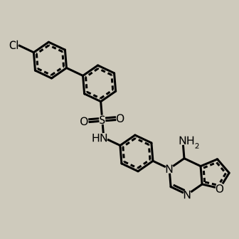 NC1c2ccoc2N=CN1c1ccc(NS(=O)(=O)c2cccc(-c3ccc(Cl)cc3)c2)cc1